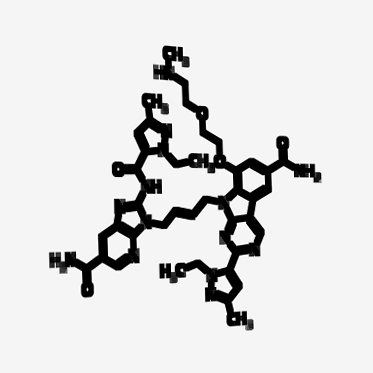 CCn1nc(C)cc1C(=O)Nc1nc2cc(C(N)=O)cnc2n1C/C=C/Cn1c2nc(-c3cc(C)nn3CC)ncc2c2cc(C(N)=O)cc(OCCOCCNC)c21